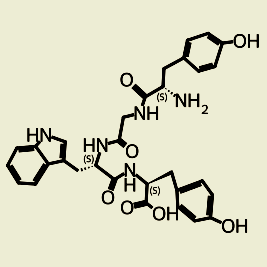 N[C@@H](Cc1ccc(O)cc1)C(=O)NCC(=O)N[C@@H](Cc1c[nH]c2ccccc12)C(=O)N[C@@H](Cc1ccc(O)cc1)C(=O)O